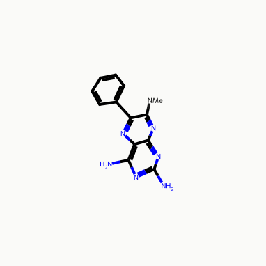 CNc1nc2nc(N)nc(N)c2nc1-c1ccccc1